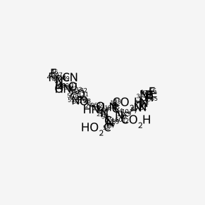 C[N+](C)(Cc1cn(CCCCC(C(=O)O)N2CCN(CC(=O)O)CCN(CC(=O)NCCCOc3cccc4c(C(=O)NCC(=O)N5CC(F)(F)C[C@H]5C#N)ccnc34)CCN(CC(=O)O)CC2)nn1)C[B-](F)(F)F